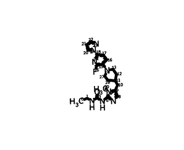 CCNC(=O)Nc1ncc(CC2CCN(c3ccc(-n4cccn4)nc3F)CC2)n1C